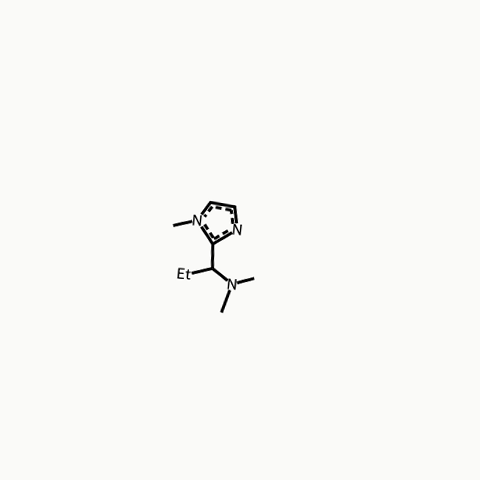 CCC(c1nccn1C)N(C)C